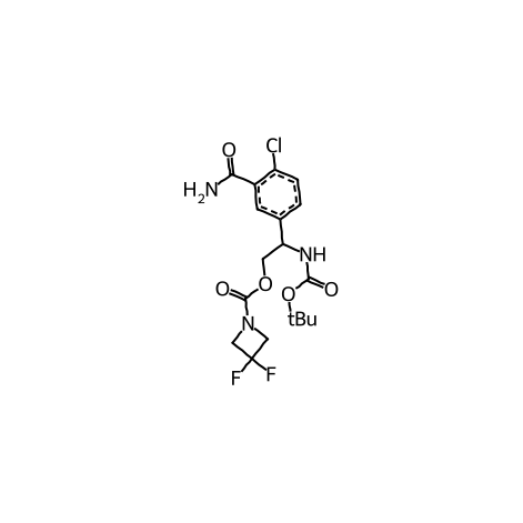 CC(C)(C)OC(=O)NC(COC(=O)N1CC(F)(F)C1)c1ccc(Cl)c(C(N)=O)c1